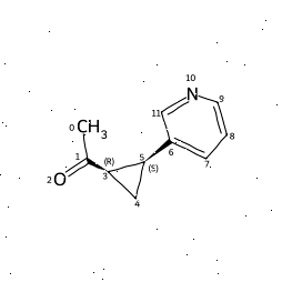 CC(=O)[C@@H]1C[C@@H]1c1cccnc1